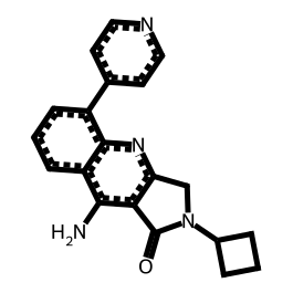 Nc1c2c(nc3c(-c4ccncc4)cccc13)CN(C1CCC1)C2=O